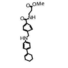 COC(=O)CCNC(=O)c1ccc(CNc2ccc(C3=CCCCC3)cc2)cc1